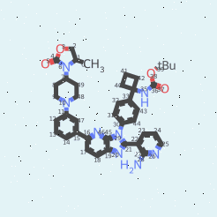 CC1COC(=O)N1C1CCN(c2cccc(-c3ccc4nc(-c5cccnc5N)n(-c5ccc(C6(NC(=O)OC(C)(C)C)CCC6)cc5)c4n3)c2)CC1